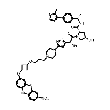 Cc1ncsc1-c1ccc([C@H](C)NC(=O)[C@@H]2C[C@@H](O)CN2C(=O)[C@@H](c2cc(N3CCN(CCCOC4CC(Oc5ccc6c(c5)Sc5cc([N+](=O)[O-])ccc5N6)C4)CC3)no2)C(C)C)cc1